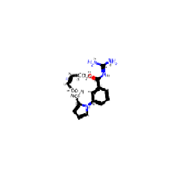 N#Cc1cccn1-c1cccc(C(=O)N=C(N)N)c1.O=C(O)/C=C\C(=O)O